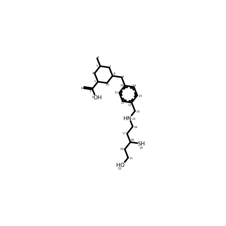 C=C(O)C1CC(C)CC(Cc2ccc(CNCCC(S)CCO)cc2)C1